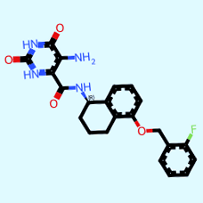 Nc1c(C(=O)N[C@@H]2CCCc3c(OCc4ccccc4F)cccc32)[nH]c(=O)[nH]c1=O